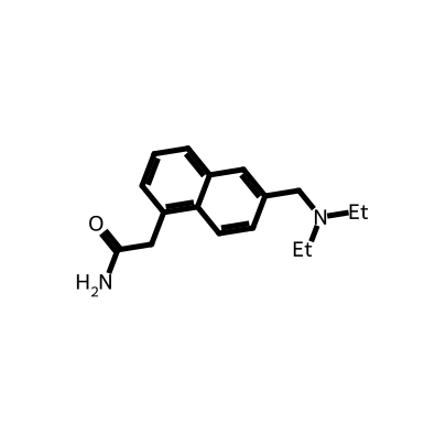 CCN(CC)Cc1ccc2c(CC(N)=O)cccc2c1